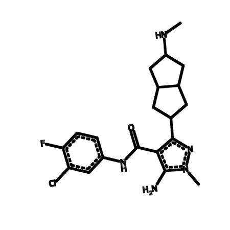 CNC1CC2CC(c3nn(C)c(N)c3C(=O)Nc3ccc(F)c(Cl)c3)CC2C1